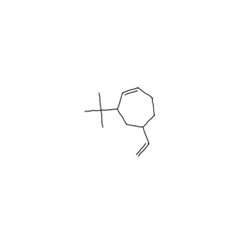 C=CC1CCC=CC(C(C)(C)C)C1